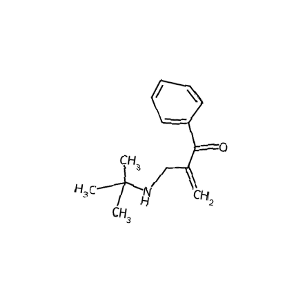 C=C(CNC(C)(C)C)C(=O)c1ccccc1